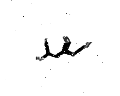 CCOC(=O)CC(C)=S